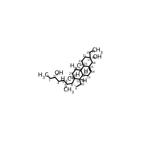 CC[C@H](O)CC[C@@H](C)[C@H]1CC[C@H]2[C@@H]3CC=C4C[C@](O)(CC)CC[C@]4(C)[C@H]3CC[C@]12C